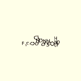 CS(=O)(=O)Nc1ccc2sc(C(=O)Nc3cc(Cl)nc(Oc4ccc(C(F)(F)F)cc4)c3)cc2c1